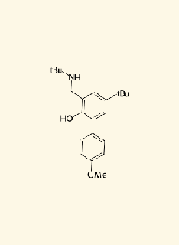 COc1ccc(-c2cc(C(C)(C)C)cc(CNC(C)(C)C)c2O)cc1